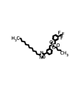 CCCCCCCCCCCc1noc(-c2cccc(C[N+]([O-])(Cc3cccc(C(F)(F)F)c3)OC(=O)CCC)c2)n1